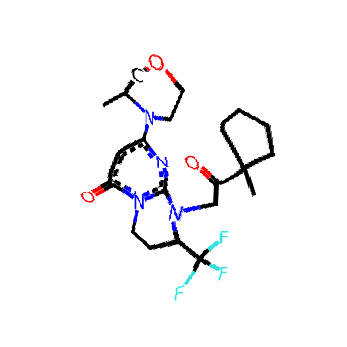 CC1COCCN1c1cc(=O)n2c(n1)N(CC(=O)C1(C)CCCC1)C(C(F)(F)F)CC2